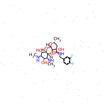 CN[C@@H]1[C@H](O)[C@H](NC)[C@H]2O[C@]3(O)[C@H](O[C@@H]2[C@H]1O)O[C@H](C)C[C@@]3(O)CNCc1ccc(F)c(F)c1